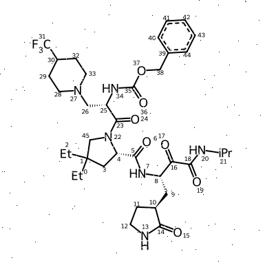 CCC1(CC)C[C@@H](C(=O)N[C@@H](C[C@@H]2CCNC2=O)C(=O)C(=O)NC(C)C)N(C(=O)[C@H](CN2CCC(C(F)(F)F)CC2)NC(=O)OCc2ccccc2)C1